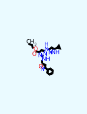 CCCCOC(=O)c1cc(Nc2cc(C3CC3)[nH]n2)nc(NCc2cc(-c3ccccc3)no2)n1